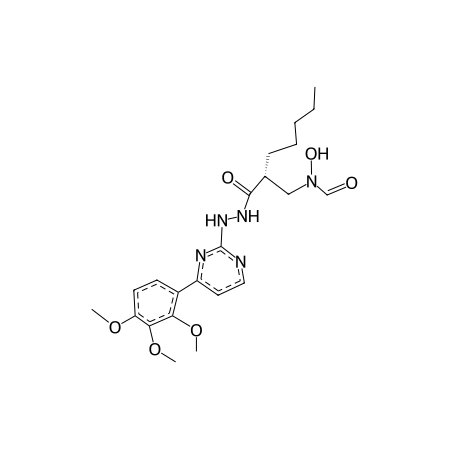 CCCCC[C@H](CN(O)C=O)C(=O)NNc1nccc(-c2ccc(OC)c(OC)c2OC)n1